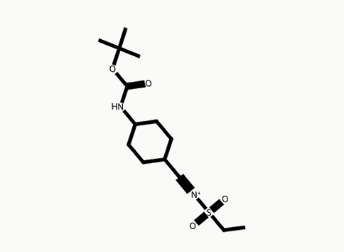 CCS(=O)(=O)[N+]#CC1CCC(NC(=O)OC(C)(C)C)CC1